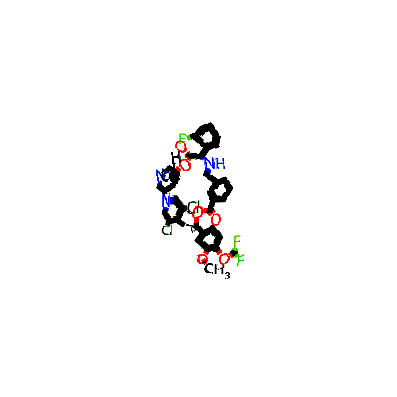 COc1cc([C@H](Cc2c(Cl)cncc2Cl)OC(=O)c2cccc(CNC(C(=O)O[C@@H]3CC4CCN(CC4)C3)c3ccccc3F)c2)ccc1OC(F)F